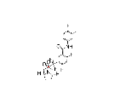 Cc1cc(NC(=O)c2cc(C(F)(F)C(=O)N3[C@@H]4CC[C@H]3CC(O)C4)c(F)cc2F)ccc1F